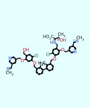 C/N=C/c1cncc(COc2cc(OCc3cccc(-c4cccc(COc5cc(OCc6cncc(/C=N/C)c6)c(CN[C@@H](C(=O)O)[C@H](C)O)cc5Cl)c4C)c3C)c(Cl)cc2CO)c1